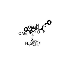 COc1cccc(OC)c1-c1cn(COCC[Si](C)(C)C)c2nc(NC(=O)C3C(COCc4ccccc4)[C@@H]3F)ccc12